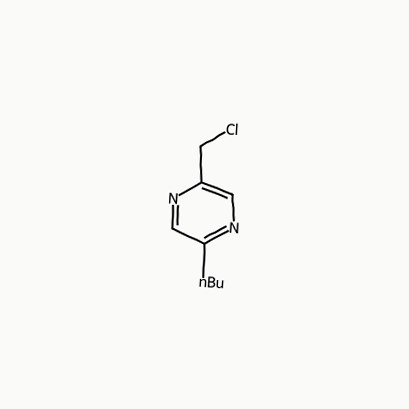 CCCCc1cnc(CCl)cn1